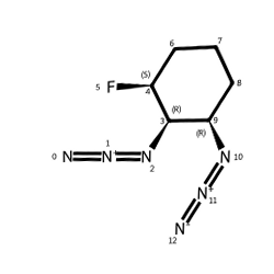 [N-]=[N+]=N[C@H]1[C@@H](F)CCC[C@H]1N=[N+]=[N-]